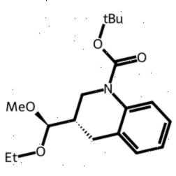 CCO[C@@H](OC)[C@H]1Cc2ccccc2N(C(=O)OC(C)(C)C)C1